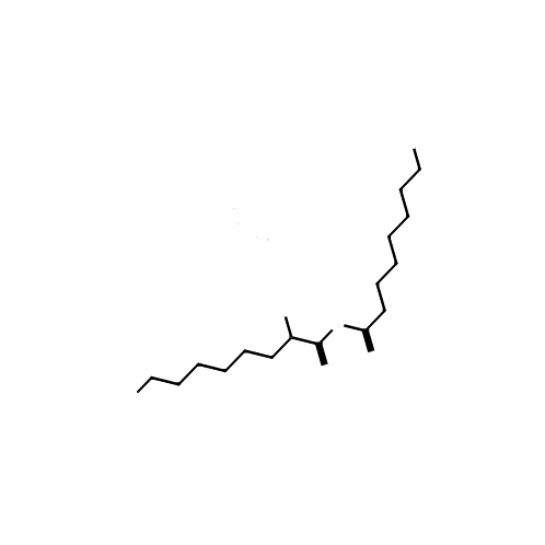 CCCCCCCCC(=O)OC(=O)C(I)CCCCCCC.Cl.[KH].[KH].[NaH]